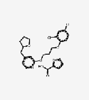 Clc1ccc(OCCCOc2cc(CC3CCCO3)ccn2)c(Cl)c1.O=C(O)c1ccco1